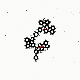 c1ccc(-c2cccc3cccc(-c4ccc(N(c5ccc(C6CCCCC6)cc5)c5ccc6c(c5)-c5cc(C7CCC(c8ccc(N(c9ccc(-c%10cccc%11cccc(-c%12ccccc%12)c%10%11)cc9)c9cccc%10sc%11ccccc%11c9%10)cc8)CC7)ccc5C65c6ccccc6-c6ccccc65)cc4)c23)cc1